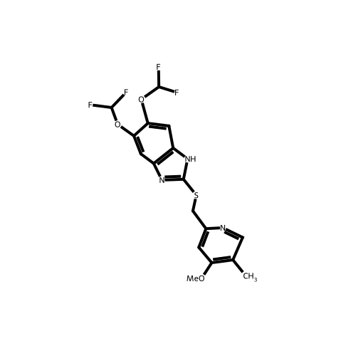 COc1cc(CSc2nc3cc(OC(F)F)c(OC(F)F)cc3[nH]2)ncc1C